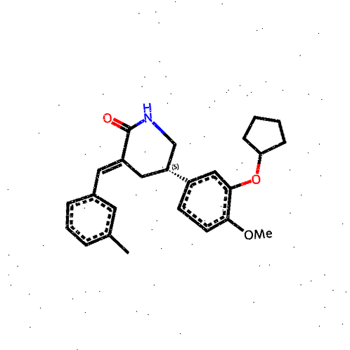 COc1ccc([C@H]2CNC(=O)C(=Cc3cccc(C)c3)C2)cc1OC1CCCC1